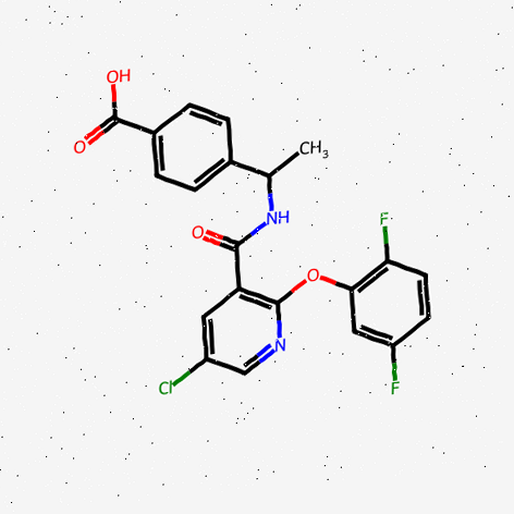 CC(NC(=O)c1cc(Cl)cnc1Oc1cc(F)ccc1F)c1ccc(C(=O)O)cc1